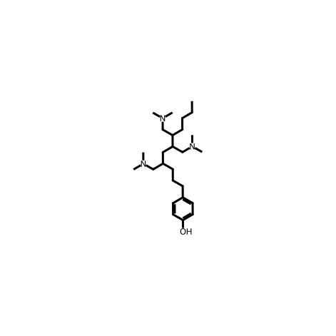 CCCCC(CN(C)C)C(CC(CCCc1ccc(O)cc1)CN(C)C)CN(C)C